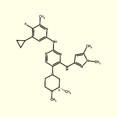 Cc1nc(Nc2ncc(N3CCN(C)[C@@H](C)C3)c(Nc3cc(C)n(C)n3)n2)cc(C2CC2)c1F